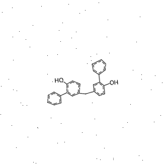 Oc1ccc(Cc2ccc(O)c(-c3ccccc3)c2)cc1-c1ccccc1